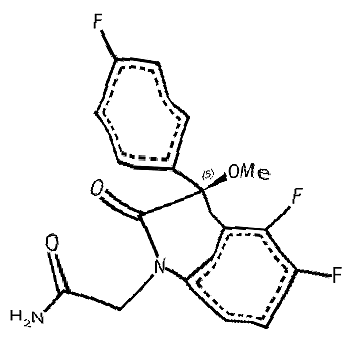 CO[C@]1(c2ccc(F)cc2)C(=O)N(CC(N)=O)c2ccc(F)c(F)c21